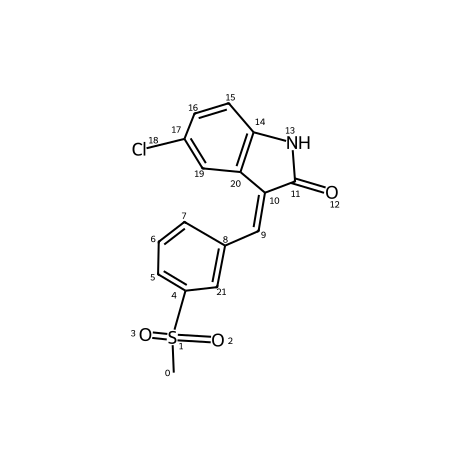 CS(=O)(=O)c1cccc(/C=C2/C(=O)Nc3ccc(Cl)cc32)c1